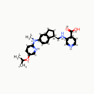 CC(C)Oc1ccc(N(C)c2ccc3c(c2)CC[C@H]3CNc2cnccc2C(=O)O)nc1